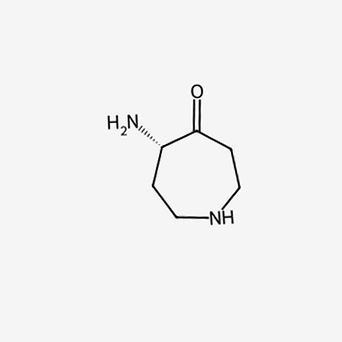 N[C@H]1CCNCCC1=O